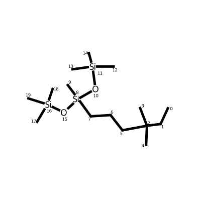 CCC(C)(C)CCC[Si](C)(O[Si](C)(C)C)O[Si](C)(C)C